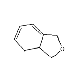 [CH]1C=CC=C2COCC12